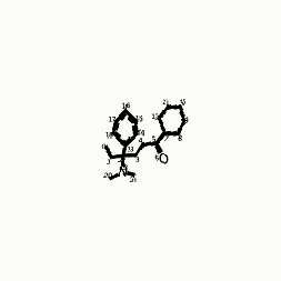 CCC(CCC(=O)C1CCCCC1)(c1ccccc1)N(C)C